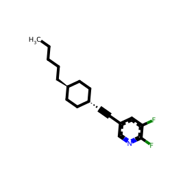 CCCCC[C@H]1CC[C@H](C#Cc2cnc(F)c(F)c2)CC1